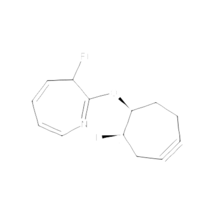 CCC1C=CC=CN=C1O[C@H]1CCC#CC[C@H]1F